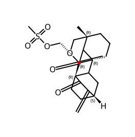 C=C1C(=O)[C@]23CC[C@H]1CC2[C@@]12CCC[C@@](C)(COC1)C2[C@H](COS(C)(=O)=O)C3=O